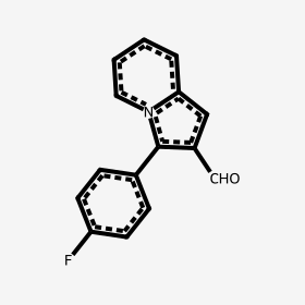 O=Cc1cc2ccccn2c1-c1ccc(F)cc1